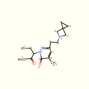 COC(=O)C(CC(C)C)n1nc(CCN2CC3(CC3)C2)cc(C)c1=O